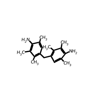 Cc1cc(Cc2cc(C)c(N)c(C)c2C)c(C)c(C)c1N